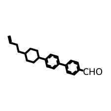 C=CCCC1CCC(c2ccc(-c3ccc(C=O)cc3)cc2)CC1